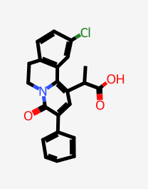 CC(C(=O)O)c1cc(-c2ccccc2)c(=O)n2c1-c1cc(Cl)ccc1CC2